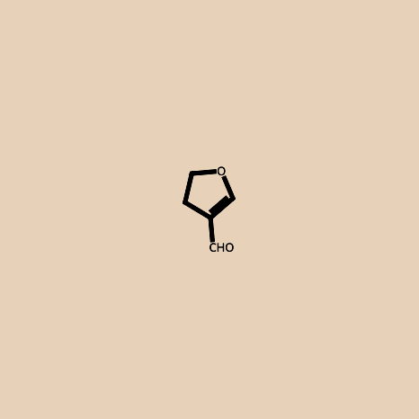 O=CC1=COCC1